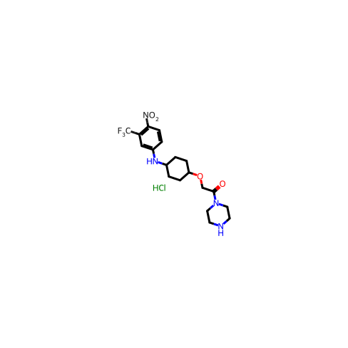 Cl.O=C(COC1CCC(Nc2ccc([N+](=O)[O-])c(C(F)(F)F)c2)CC1)N1CCNCC1